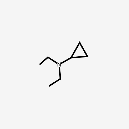 CCN(CC)C1[CH]C1